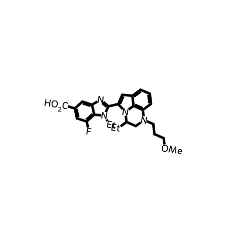 CCC1CN(CCCOC)c2cccc3cc(-c4nc5cc(C(=O)O)cc(F)c5n4CC)n1c23